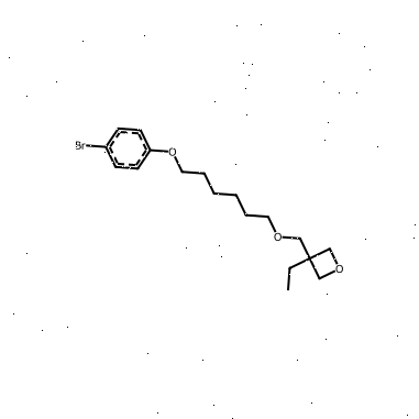 CCC1(COCCCCCCOc2ccc(Br)cc2)COC1